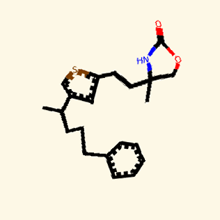 CC(CCCc1ccccc1)c1csc(CCC2(C)COC(=O)N2)c1